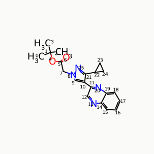 CC(C)(C)OC(=O)Cn1cc(-c2cnc3ccccc3n2)c(C2CC2)n1